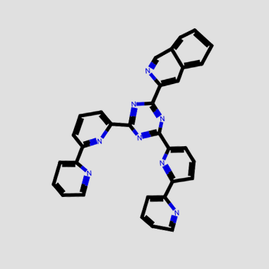 c1ccc(-c2cccc(-c3nc(-c4cc5ccccc5cn4)nc(-c4cccc(-c5ccccn5)n4)n3)n2)nc1